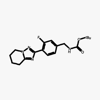 CC(C)(C)OC(=O)NCc1ccc(-c2nc3n(n2)CCCC3)c(F)c1